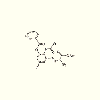 COC(=O)C(N=Cc1cc(Cl)cc(OC(=O)c2cccnc2)c1OC(=O)C(C)C)C(C)C